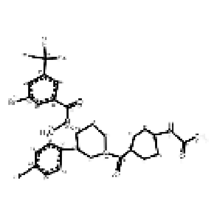 CC(=O)NC1CCC(C(=O)N2CC[C@@H](N(C)C(=O)c3cc(Br)cc(C(F)(F)F)c3)[C@H](c3ccc(F)cc3)C2)CC1